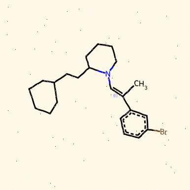 C/C(=C\N1CCCCC1CCC1CCCCC1)c1cccc(Br)c1